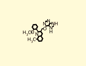 COc1ccccc1-c1nc2c(C)cccc2cc1COc1ncnc2c1NCN2